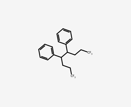 FC(F)(F)CCC(c1ccccc1)C(CCC(F)(F)F)c1ccccc1